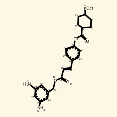 CCCCCCCCC1CCC(C(=O)Oc2ccc(/C=C/C(=O)OCc3cc(N)cc(N)c3)cc2)CC1